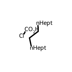 CCCCCCCCCCCCCCCC.O=C(O)Cl